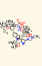 CCn1c(-c2cc(N3CCN(C)CC3)cnc2[C@H](C)OC)c(CC(C)(C)CO)c2cc(-c3cc(C[C@H](NC(=O)OC(C)(C)C)C(=O)O)cc(O[Si](C(C)C)(C(C)C)C(C)C)c3)ccc21